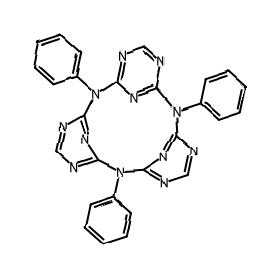 c1ccc(N2c3ncnc(n3)N(c3ccccc3)c3ncnc(n3)N(c3ccccc3)c3ncnc2n3)cc1